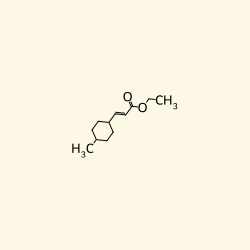 CCOC(=O)C=CC1CCC(C)CC1